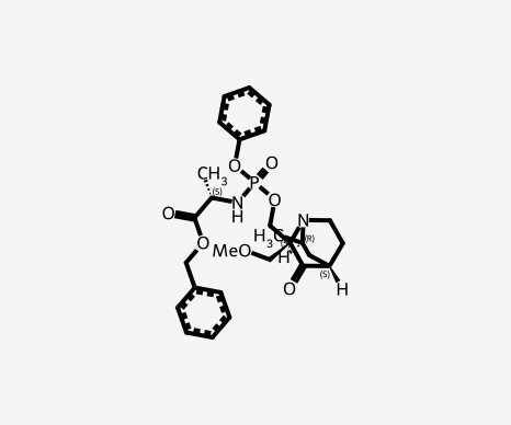 COC[C@]1(COP(=O)(N[C@@H](C)C(=O)OCc2ccccc2)Oc2ccccc2)C(=O)[C@H]2CCN1[C@H](C)C2